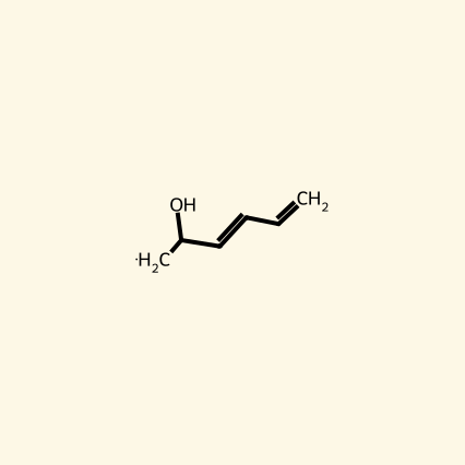 [CH2]C(O)C=CC=C